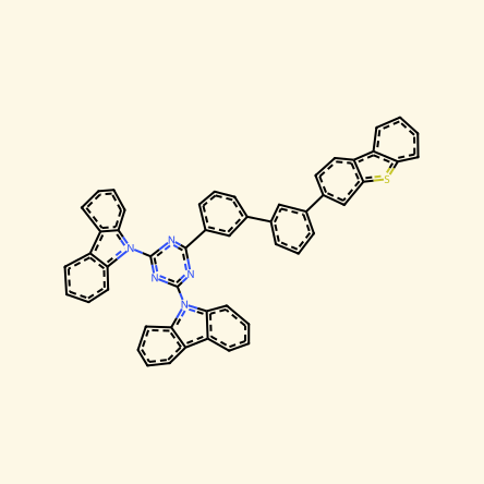 c1cc(-c2cccc(-c3nc(-n4c5ccccc5c5ccccc54)nc(-n4c5ccccc5c5ccccc54)n3)c2)cc(-c2ccc3c(c2)sc2ccccc23)c1